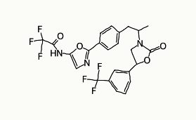 CC(Cc1ccc(-c2ncc(NC(=O)C(F)(F)F)o2)cc1)N1CC(c2cccc(C(F)(F)F)c2)OC1=O